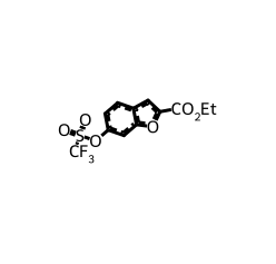 CCOC(=O)c1cc2ccc(OS(=O)(=O)C(F)(F)F)cc2o1